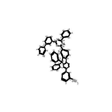 Nc1cccc(-c2ccc3c(c2)C(c2ccccc2)(c2ccccc2)c2cc(-c4nc(-c5ccccc5)nc(-c5cccc(-c6ccccc6)c5)n4)ccc2-3)c1